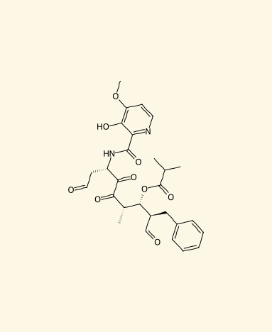 COc1ccnc(C(=O)N[C@@H](CC=O)C(=O)C(=O)[C@@H](C)[C@H](OC(=O)C(C)C)[C@H](C=O)Cc2ccccc2)c1O